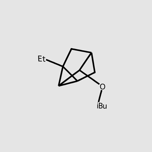 CCC(C)OC1C2CC3C1C3(CC)C2